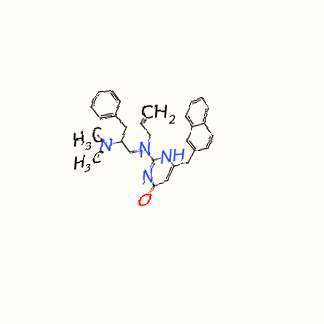 C=CCN(CC(Cc1ccccc1)N(C)C)c1nc(=O)cc(Cc2ccc3ccccc3c2)[nH]1